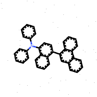 c1ccc(N(c2ccccc2)c2ccc(-c3cc4ccccc4c4ccccc34)c3ccccc23)cc1